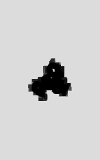 C#Cc1cccnc1N1CC2(CC2)OC1=O.c1cc2cc-2c1